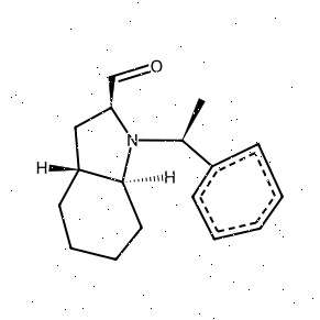 C[C@@H](c1ccccc1)N1[C@H](C=O)C[C@H]2CCCC[C@@H]21